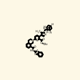 Cc1c(-c2ccc(N3CCc4cccc(C(=O)Nc5nc6ccccc6s5)c4C3)nc2C(=O)OC(C)(C)C)cnn1C[C@@H]1CC[C@H]2C[C@H]1C2(C)C